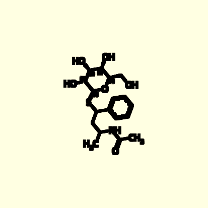 CC(=O)NC(C)CC(S[C@@H]1O[C@H](CO)[C@H](O)[C@H](O)[C@H]1O)c1ccccc1